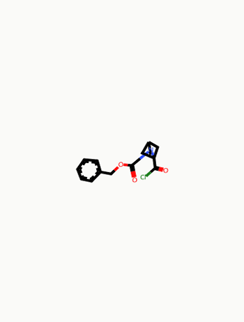 O=C(OCc1ccccc1)N1CC2CC1(C(=O)Cl)C2